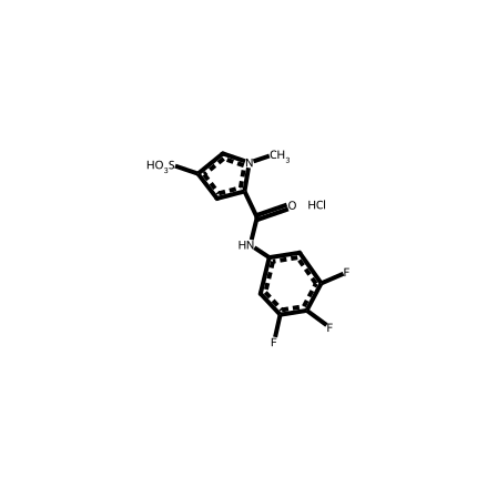 Cl.Cn1cc(S(=O)(=O)O)cc1C(=O)Nc1cc(F)c(F)c(F)c1